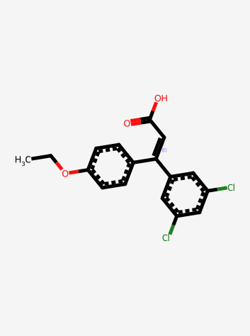 CCOc1ccc(/C(=C\C(=O)O)c2cc(Cl)cc(Cl)c2)cc1